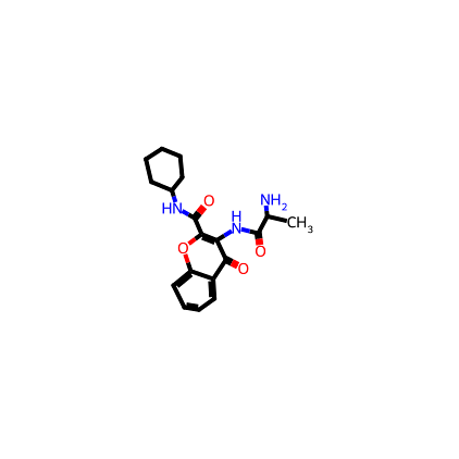 CC(N)C(=O)Nc1c(C(=O)NC2CCCCC2)oc2ccccc2c1=O